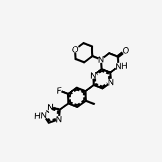 Cc1cc(-c2nc[nH]n2)c(F)cc1-c1cnc2c(n1)N(C1CCOCC1)CC(=O)N2